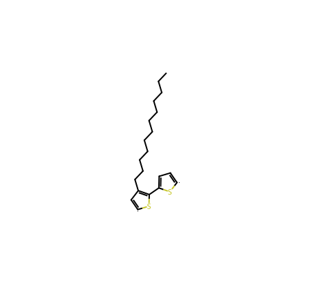 CCCCCCCCCCCCc1c[c]sc1-c1cc[c]s1